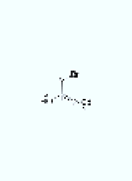 O=C(O)CBr.[Cd]